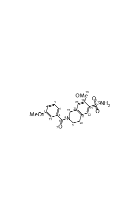 COc1cccc(C(=O)N2CCc3cc(S(N)(=O)=O)c(OC)cc3C2)c1